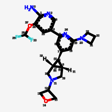 Nc1ncc(-c2cc([C@H]3[C@@H]4CN(C5COC5)C[C@@H]43)cc(N3CCC3)n2)cc1OC(F)F